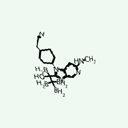 BC(B)(B)C(B)(O)c1nc2cnc(NC)cc2n1[C@H]1CC[C@H](CC#N)CC1